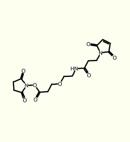 O=C(CCN1C(=O)C=CC1=O)NCCOCCC(=O)ON1C(=O)CCC1=O